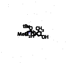 C=C[C@]1(CN/C(=C\OC)OC(C)(C)C)CC(O)CC1C